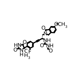 COc1ccc2c(c1)C(=O)N(C[C@@H](C#Cc1ccc(C3(C)NC(=O)NC3=O)c(F)c1)NC(=O)NC=O)C2